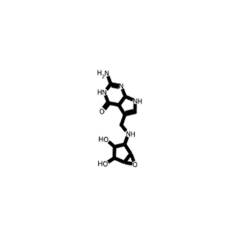 NC1=NC2NC=C(CNC3C(O)C(O)C4OC34)C2C(=O)N1